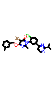 Cc1cccc(COc2nc(C)n(-c3cc(-c4ccnc(C(C)C)n4)ccc3Cl)c(=O)c2Br)c1